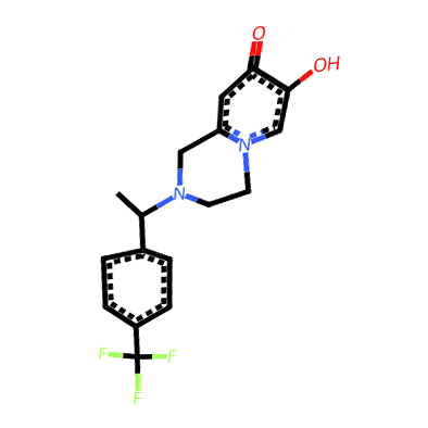 CC(c1ccc(C(F)(F)F)cc1)N1CCn2cc(O)c(=O)cc2C1